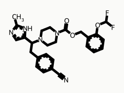 Cc1ncc(C(Cc2ccc(C#N)cc2)N2CCN(C(=O)OCc3ccccc3OC(F)F)CC2)[nH]1